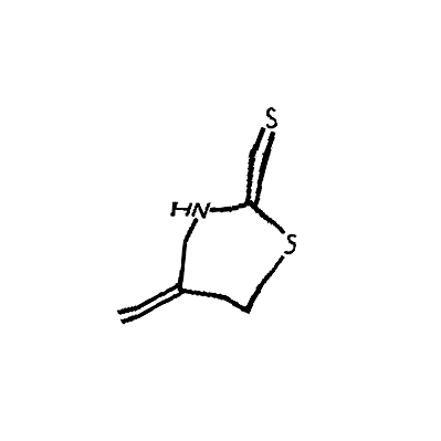 C=C1CSC(=S)N1